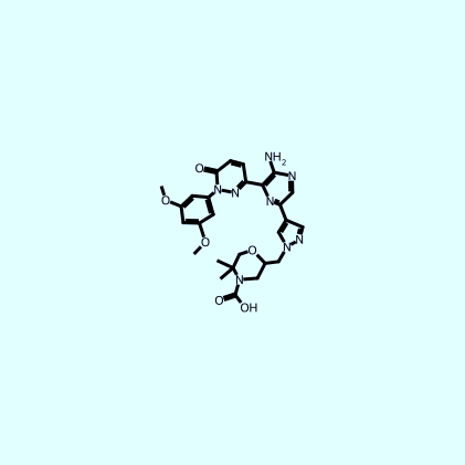 COc1cc(OC)cc(-n2nc(-c3nc(-c4cnn(CC5CN(C(=O)O)C(C)(C)CO5)c4)cnc3N)ccc2=O)c1